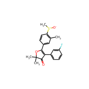 Cc1cc(C2=C(c3cccc(F)c3)C(=O)C(C)(C)O2)ccc1[S+](C)[O-]